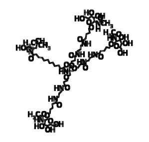 CC(=O)NC1C(OCCCCC(=O)NCCCNC(=O)CCOCC(COCCC(=O)NCCCNC(=O)CCCCOC2OC(CO)C(O)C(O)C2NC(C)=O)(COCCC(=O)NCCCNC(=O)CCCCOC2OC(CO)C(O)C(O)C2NC(C)=O)NC(=O)CCCCCCCCCCC(=O)N2C[C@H](O)C[C@H]2CC(C)(C)C)OC(CO)C(O)C1O